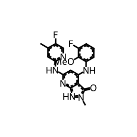 COc1c(F)cccc1Nc1cc(Nc2cc(C)c(F)cn2)nc2[nH]n(C)c(=O)c12